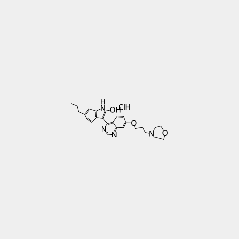 CCCc1ccc2c(-c3ncnc4cc(OCCCN5CCOCC5)ccc34)c(O)[nH]c2c1.Cl